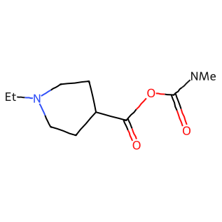 CCN1CCC(C(=O)OC(=O)NC)CC1